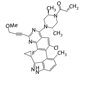 C=CC(=O)N1C[C@H](C)N(c2nc(C#CCOC)nc3c(F)c(-c4c(C)ccc5[nH]nc(C6CC6)c45)c(Cl)cc23)C[C@H]1C